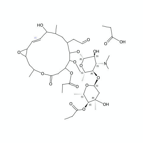 CCC(=O)O.CCC(=O)OC1CC(=O)OC(C)CC2OC2/C=C/C(O)C(C)CC(CC=O)C(O[C@H]2O[C@@H](C)[C@H](O[C@H]3C[C@@](C)(O)[C@@H](OC(=O)CC)[C@H](C)O3)[C@@H](N(C)C)[C@@H]2O)C1OC